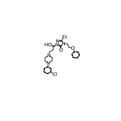 CCc1nn([C@H](O)CCN2CCN(c3cccc(Cl)c3)CC2)c(=O)n1CCOc1ccccc1